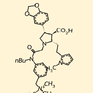 CCCCN(C(=O)CN1C[C@H](c2ccc3c(c2)OCO3)[C@@H](C(=O)O)[C@@H]1CCc1cccn1C)c1cccc(C[N+](C)(C)C)c1